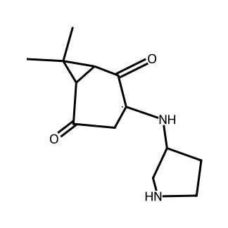 CC1(C)C2C(=O)C[C](NC3CCNC3)C(=O)C21